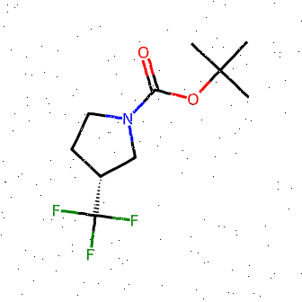 CC(C)(C)OC(=O)N1CC[C@@H](C(F)(F)F)C1